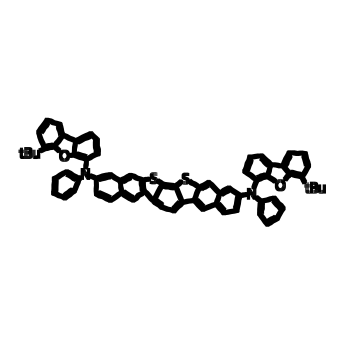 CC(C)(C)c1cccc2c1oc1c(N(c3ccccc3)c3ccc4cc5c(cc4c3)sc3c5ccc4c5cc6ccc(N(c7ccccc7)c7cccc8c7oc7c(C(C)(C)C)cccc78)cc6cc5sc43)cccc12